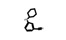 N#Cc1[c]ccc(NC2CCCCC2)c1